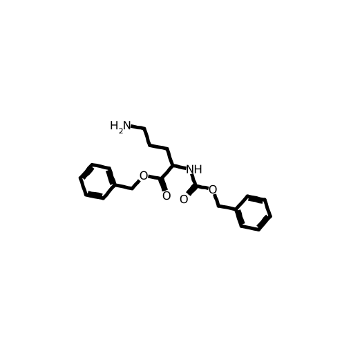 NCCCC(NC(=O)OCc1ccccc1)C(=O)OCc1ccccc1